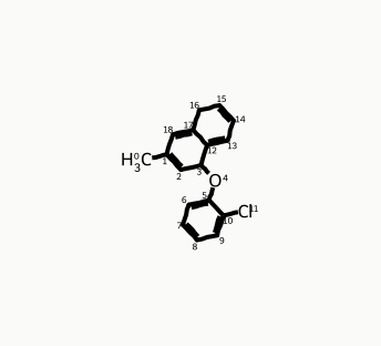 CC1=CC(Oc2ccccc2Cl)C2=CC=CCC2=C1